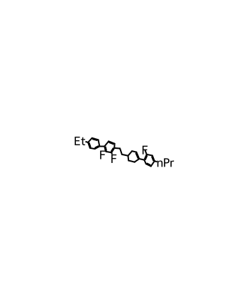 CCCc1ccc(C2=CCC(CCc3ccc(-c4ccc(CC)cc4)c(F)c3F)CC2)c(F)c1